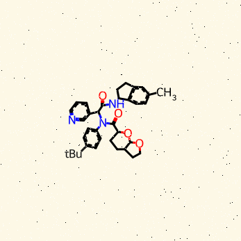 Cc1ccc2c(c1)CC[C@@H]2NC(=O)C(c1cccnc1)N(C(=O)C1CCC2CCOC2O1)c1ccc(C(C)(C)C)cc1